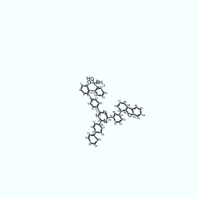 BC1(O)Oc2cccc(-c3ccc(-c4nc(-c5ccc(-c6ccccc6)cc5)nc(-c5cccc(-c6cccc7c6oc6ccccc67)c5)n4)cc3)c2-c2ccccc21